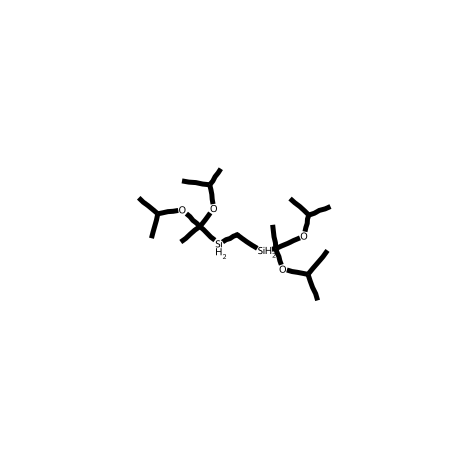 CC(C)OC(C)(OC(C)C)[SiH2]C[SiH2]C(C)(OC(C)C)OC(C)C